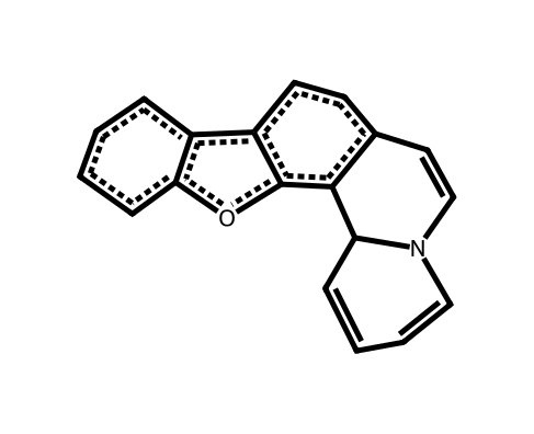 C1=CC2c3c(ccc4c3oc3ccccc34)C=CN2C=C1